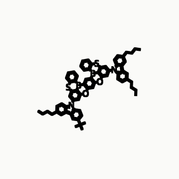 CCCCc1ccc2c(c1)c1cc(CCCC)ccc1n2-c1cc2c3c(c1)Sc1ccccc1B3c1cc3c(cc1O2)Oc1cc(-n2c4ccc(CCCC)cc4c4cc(C(C)(C)C)ccc42)cc2c1B3c1ccccc1S2